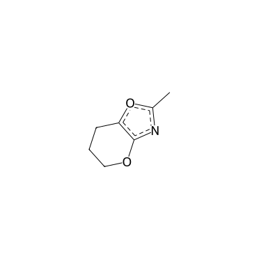 Cc1nc2c(o1)CCCO2